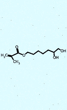 C=C(C)C(=O)OCCCCCC(O)CO